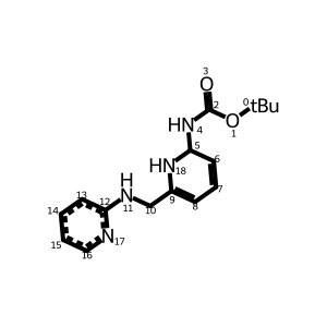 CC(C)(C)OC(=O)NC1C=CC=C(CNc2ccccn2)N1